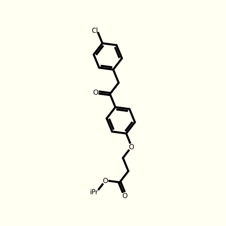 CC(C)OC(=O)CCOc1ccc(C(=O)Cc2ccc(Cl)cc2)cc1